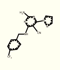 N#Cc1c(NCc2ccc(C(F)(F)F)cc2)nc(N)nc1-n1cccn1